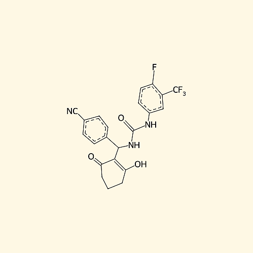 N#Cc1ccc(C(NC(=O)Nc2ccc(F)c(C(F)(F)F)c2)C2=C(O)CCCC2=O)cc1